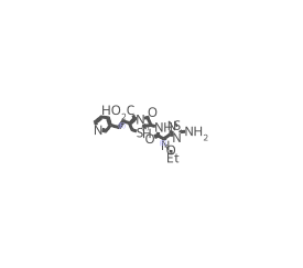 CCO/N=C(/C(=O)NC1C(=O)N2C(C(=O)O)=C(/C=C/c3cccnc3)CS[C@H]12)c1nsc(N)n1